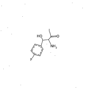 NC(C(=O)I)C(O)c1ccc(F)cc1